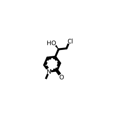 Cn1ccc([C@@H](O)CCl)cc1=O